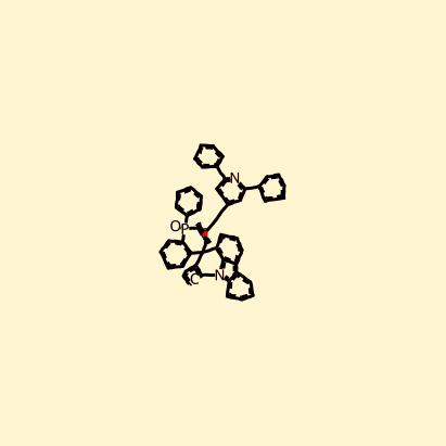 O=P1(c2ccccc2)c2ccccc2C2(c3ccccc3-n3c4ccccc4c4cccc2c43)c2ccc(-c3cc(-c4ccccc4)nc(-c4ccccc4)c3)cc21